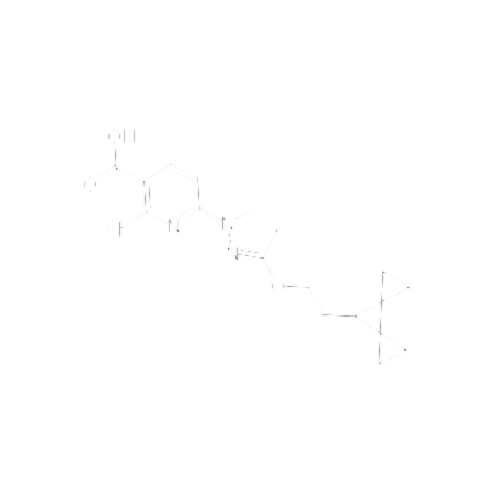 O=C(O)c1ccc(-n2ccc(OCCC3C4(CC4)C34CC4)n2)nc1Cl